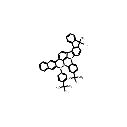 CC(C)(C)c1ccc(N2B3c4cc(C(C)(C)C)ccc4-n4c5ccc6c(c5c5ccc(c3c54)-c3cc4ccccc4cc32)-c2ccccc2C6(C)C)cc1